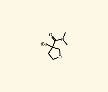 CN(C)C(=O)C1(C(C)(C)C)CCOC1